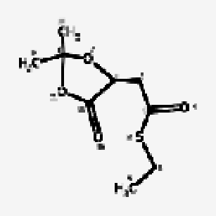 CCSC(=O)C[C@@H]1OC(C)(C)OC1=O